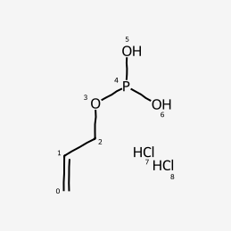 C=CCOP(O)O.Cl.Cl